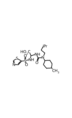 CC(C)CCN(C(=O)NC(NS(=O)(=O)c1cncs1)C(=O)O)C1CCC(C)CC1